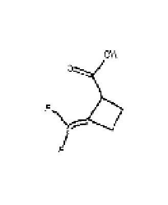 O=C(O)C1CCC1=C(F)F